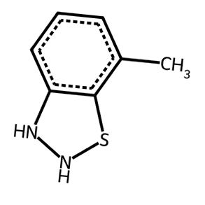 Cc1cccc2c1SNN2